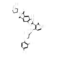 Cc1ccc(OC[C@@H](O)CNc2cc[nH]c(=O)c2-c2nc3cc4c(cc3[nH]2)C(=O)N([C@@H]2CCN(C)C2)C4=O)c(C)c1